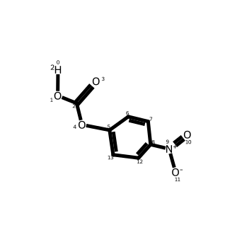 [2H]OC(=O)Oc1ccc([N+](=O)[O-])cc1